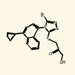 O=C(CO)CSc1nnc(Br)n1-c1ccc(C2CC2)c2ccccc12